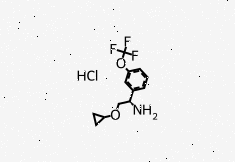 Cl.N[C@@H](COC1CC1)c1cccc(OC(F)(F)F)c1